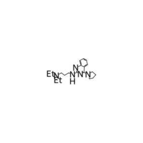 CCN(CC)CCCNc1nc(N2CCCC2)c2ccccc2n1